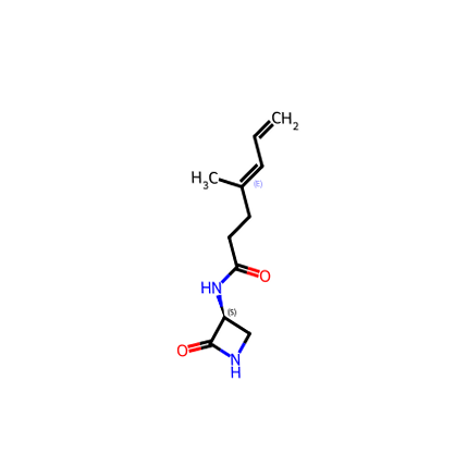 C=C/C=C(\C)CCC(=O)N[C@H]1CNC1=O